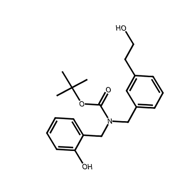 CC(C)(C)OC(=O)N(Cc1cccc(CCO)c1)Cc1ccccc1O